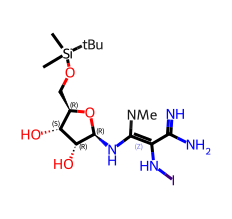 CN/C(N[C@@H]1O[C@H](CO[Si](C)(C)C(C)(C)C)[C@@H](O)[C@H]1O)=C(/NI)C(=N)N